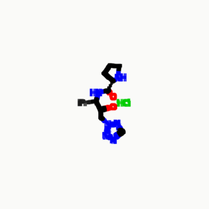 CC(C)C(NC(=O)[C@@H]1CCCN1)C(=O)Cn1ncnn1.Cl